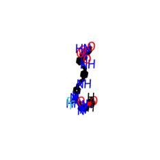 O=C1CCC(N2C(=O)c3cccc(NCCc4ccc(CCNCC5CCC(n6cc(NC(=O)c7cnn8ccc(N9C[C@H]%10C[C@@H]9CO%10)nc78)c(C(F)F)n6)CC5)cc4)c3C2=O)C(=O)N1